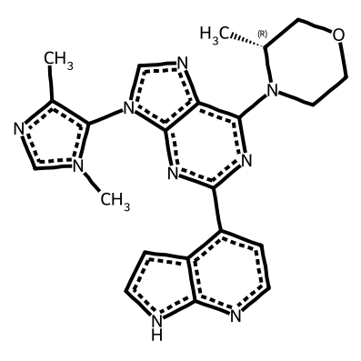 Cc1ncn(C)c1-n1cnc2c(N3CCOC[C@H]3C)nc(-c3ccnc4[nH]ccc34)nc21